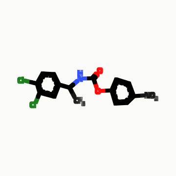 O=C(NC(c1ccc(Cl)c(Cl)c1)C(F)(F)F)Oc1ccc([N+](=O)[O-])cc1